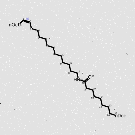 CCCCCCCC/C=C\CCCCCCCCCCCCNC(=O)CCCCCCCCCCCCCCCCC